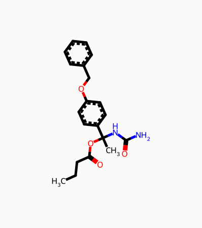 CCCC(=O)OC(C)(NC(N)=O)c1ccc(OCc2ccccc2)cc1